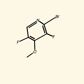 COc1c(F)cnc(Br)c1F